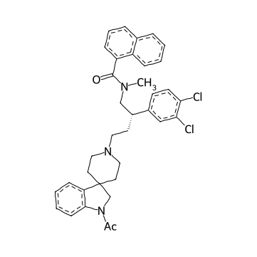 CC(=O)N1CC2(CCN(CC[C@H](CN(C)C(=O)c3cccc4ccccc34)c3ccc(Cl)c(Cl)c3)CC2)c2ccccc21